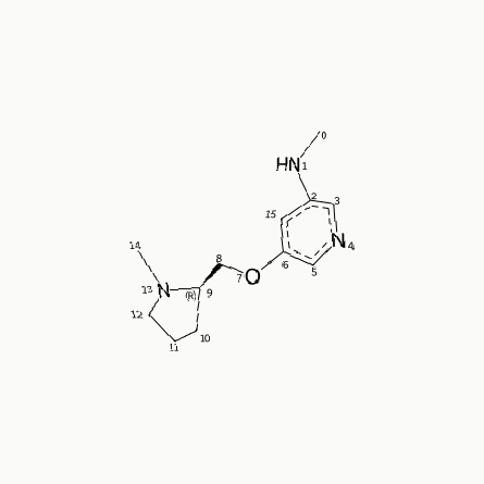 CNc1cncc(OC[C@H]2CCCN2C)c1